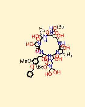 COc1cc(C[C@@H](O)C2NC(=O)[C@@H]3C[C@@H](O)CN3C(=O)C([C@@H](C)O)NC(=O)[C@@H](NC(=O)OC(C)(C)C)C[C@@H](O)CNC(=O)[C@@H]3[C@@H](O)[C@@H](C)CN3C(=O)[C@H]([C@H](O)CCN(C(=O)OC(C)(C)C)C(CO)CO)NC2=O)ccc1OCc1ccccc1